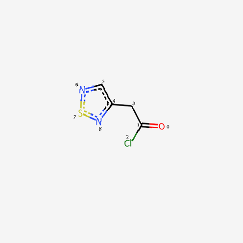 O=C(Cl)Cc1cnsn1